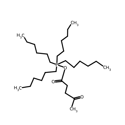 CCCCCCP(CCCCCC)(CCCCCC)(CCCCCC)OC(=O)CCC(C)=O